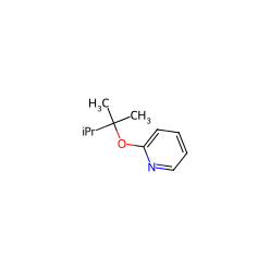 CC(C)C(C)(C)Oc1ccccn1